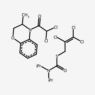 CC(C)N(C(=O)SCC(Cl)=C(Cl)Cl)C(C)C.CC1COc2ccccc2N1C(=O)C(Cl)Cl